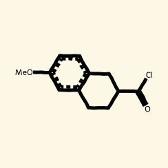 COc1ccc2c(c1)CCC(C(=O)Cl)C2